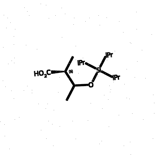 CC(O[Si](C(C)C)(C(C)C)C(C)C)[C@H](C)C(=O)O